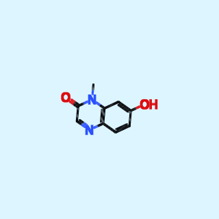 Cn1c(=O)cnc2ccc(O)cc21